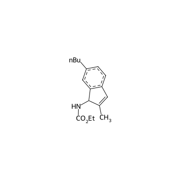 CCCCc1ccc2c(c1)C(NC(=O)OCC)C(C)=C2